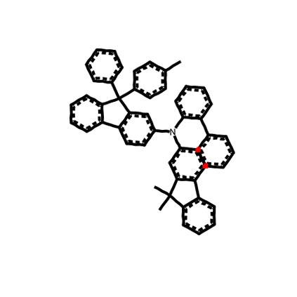 Cc1ccc(C2(c3ccccc3)c3ccccc3-c3ccc(N(c4ccc5c(c4)C(C)(C)c4ccccc4-5)c4ccccc4-c4ccccc4)cc32)cc1